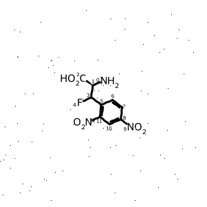 N[C@H](C(=O)O)C(F)c1ccc([N+](=O)[O-])cc1[N+](=O)[O-]